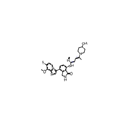 C=N/C(=C\C=C(/C)N1CCC(O)CC1)Nc1ccc(-c2cnc3c(OC)c(F)ccn23)c2c1C(=O)NC2